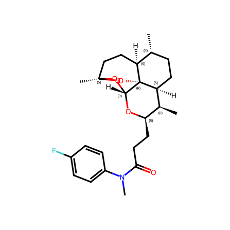 C[C@H]1[C@@H](CCC(=O)N(C)c2ccc(F)cc2)O[C@@H]2O[C@]3(C)CC[C@H]4[C@H](C)CC[C@@H]1[C@@]24OO3